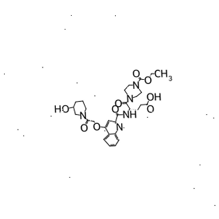 CCOC(=O)N1CCN(C(=O)[C@H](CCC(=O)O)NC(=O)c2cc(OCC(=O)N3CCCC(O)C3)c3ccccc3n2)CC1